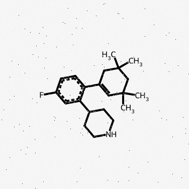 CC1(C)C=C(c2ccc(F)cc2C2CCNCC2)CC(C)(C)C1